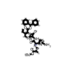 C=CC1=C(C(=O)OC(c2ccccc2)c2ccccc2)N2C(=O)C(NC(=O)/C(=N/OC(C)C(=O)OC(C)(C)C)c3csc(N)n3)[C@H]2SC1